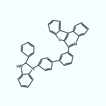 c1ccc(C2Nc3ccccc3N2c2ccc(-c3cccc(-c4nc5ccccc5c5c4sc4ccccc45)c3)cc2)cc1